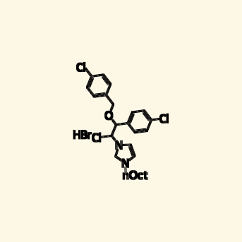 Br.CCCCCCCCN1C=CN(C(Cl)C(OCc2ccc(Cl)cc2)c2ccc(Cl)cc2)C1